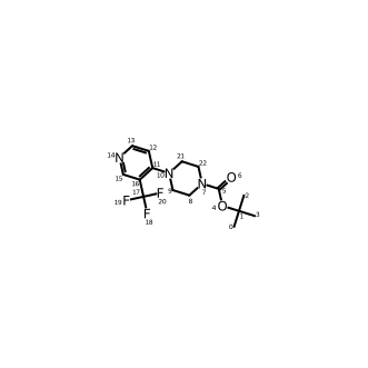 CC(C)(C)OC(=O)N1CCN(c2ccncc2C(F)(F)F)CC1